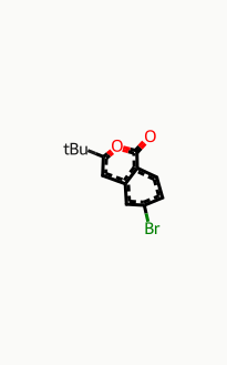 CC(C)(C)c1cc2cc(Br)ccc2c(=O)o1